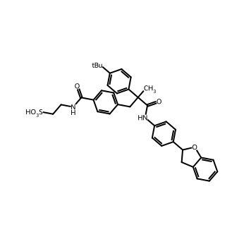 CC(C)(C)c1ccc(C(C)(Cc2ccc(C(=O)NCCS(=O)(=O)O)cc2)C(=O)Nc2ccc(C3Cc4ccccc4O3)cc2)cc1